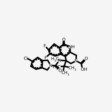 CN(C(=O)N1Cc2ccc(Cl)cc2C1)C1(C(C)(C)C)CN(C(=O)O)Cc2[nH]c(=O)c3cc(F)c(F)cc3c21